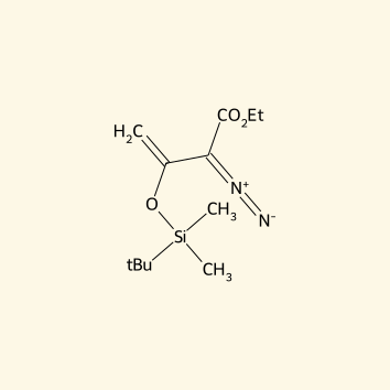 C=C(O[Si](C)(C)C(C)(C)C)C(=[N+]=[N-])C(=O)OCC